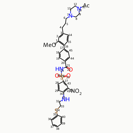 COc1cc(CCCN2CCN(C(C)=O)CC2)ccc1-c1ccc(C(=O)NS(=O)(=O)c2ccc(NCCSc3ccccc3)c([N+](=O)[O-])c2)cc1